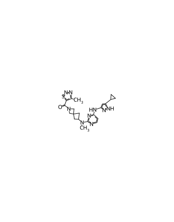 Cc1nnsc1C(=O)N1CC2(CC(N(C)c3nccc(Nc4cc(C5CC5)[nH]n4)n3)C2)C1